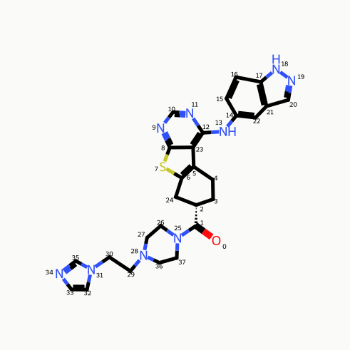 O=C([C@H]1CCc2c(sc3ncnc(Nc4ccc5[nH]ncc5c4)c23)C1)N1CCN(CCn2ccnc2)CC1